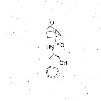 O=C1C2CC3C1C3(C(=O)N[C@@H](CO)Cc1ccccc1)C2